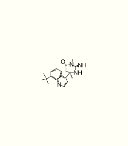 CN1C(=N)N[C@](C)(c2ccncc2)[C@H](c2ccc(C(C)(C)C)cc2)C1=O